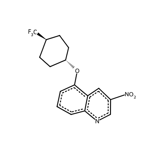 O=[N+]([O-])c1cnc2cccc(O[C@H]3CC[C@H](C(F)(F)F)CC3)c2c1